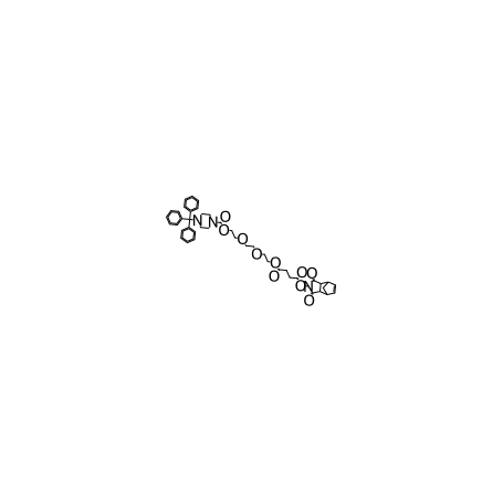 O=C(CCC(=O)ON1C(=O)C2C3C=CC(C3)C2C1=O)OCCOCCOCCOC(=O)N1CCN(C(c2ccccc2)(c2ccccc2)c2ccccc2)CC1